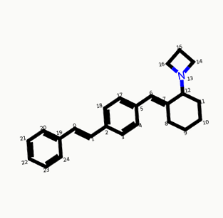 C(=C\c1ccc(/C=C2\CCCCC2N2CCC2)cc1)/c1ccccc1